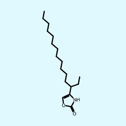 CCCCCCCCCCCCC(CC)c1coc(=O)[nH]1